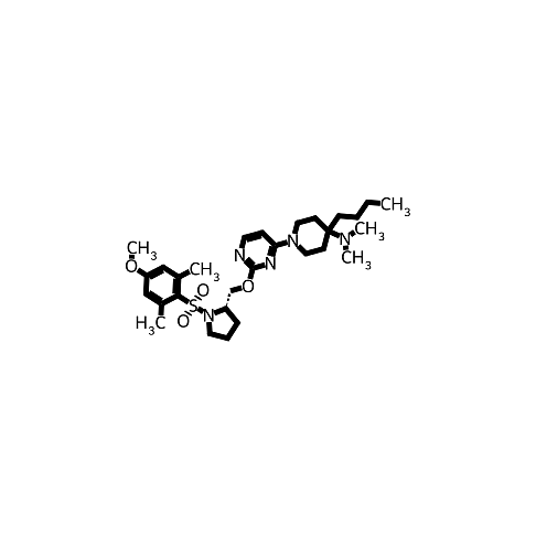 CCCCC1(N(C)C)CCN(c2ccnc(OC[C@@H]3CCCN3S(=O)(=O)c3c(C)cc(OC)cc3C)n2)CC1